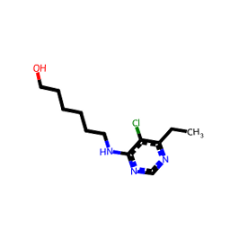 CCc1ncnc(NCCCCCCO)c1Cl